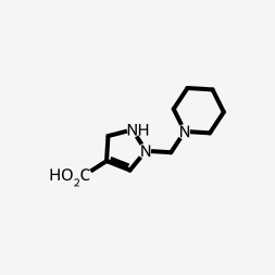 O=C(O)C1=CN(CN2CCCCC2)NC1